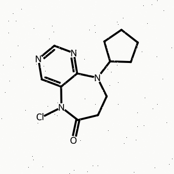 O=C1CCN(C2CCCC2)c2ncncc2N1Cl